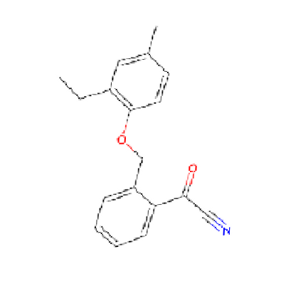 CCc1cc(C)ccc1OCc1ccccc1C(=O)C#N